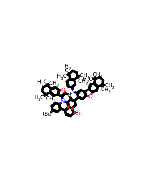 CC(C)(C)c1ccc(N2c3cc(C(C)(C)C)cc4c3B(c3oc5cc6c(cc5c32)C(C)(C)CCC6(C)C)N(c2ccc3c(c2)C(C)(C)CCC3(C)C)c2cc3c(cc2-4)oc2cc4c(cc23)C(C)(C)CCC4(C)C)c(-c2ccccc2)c1